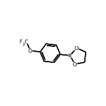 FC(F)(F)Oc1ccc(B2OCCO2)cc1